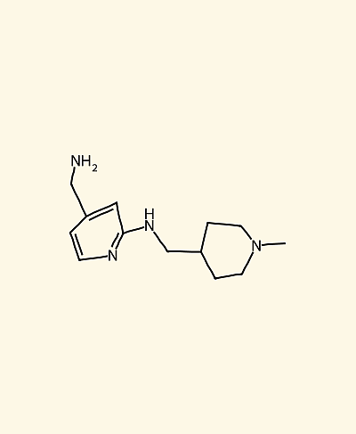 CN1CCC(CNc2cc(CN)ccn2)CC1